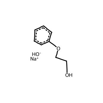 OCCOc1ccccc1.[Na+].[OH-]